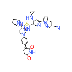 N#Cc1cnn2c(-c3cc(NC4CC4)c(-c4nnc(N5CC6CCC(C5)N6CC5CCN(c6ccc([C@@H]7CCC(=O)NC7=O)cc6)CC5)s4)cn3)ccc2c1